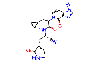 N#C[C@H](C[C@@H]1CCNC1=O)NC(=O)[C@@H](CC1CC1)n1ccc2[nH]cnc2c1=O